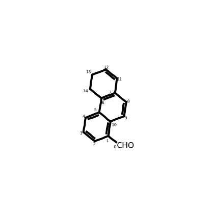 O=Cc1cccc2c3c(ccc12)C=CCC3